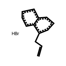 Br.C=CCc1cccc2ccccc12